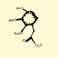 COc1ccc(CC(=O)C(=O)O)c(OC)c1OC